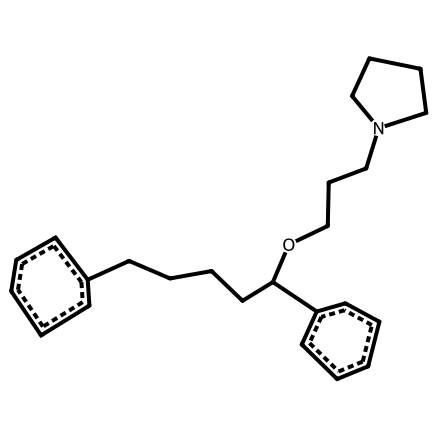 c1ccc(CCCCC(OCCCN2CCCC2)c2ccccc2)cc1